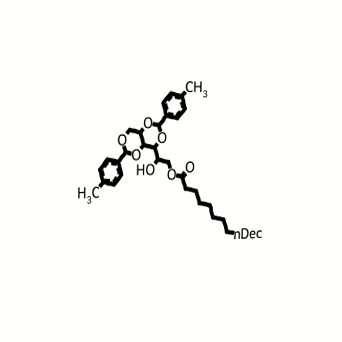 CCCCCCCCCCCCCCCCCC(=O)OCC(O)C1OC(c2ccc(C)cc2)OC2COC(c3ccc(C)cc3)OC21